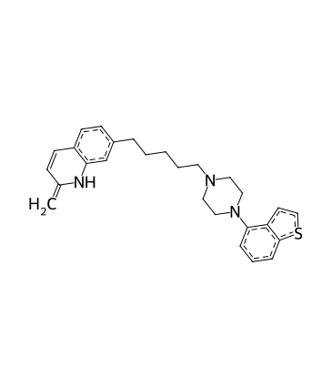 C=C1C=Cc2ccc(CCCCCN3CCN(c4cccc5sccc45)CC3)cc2N1